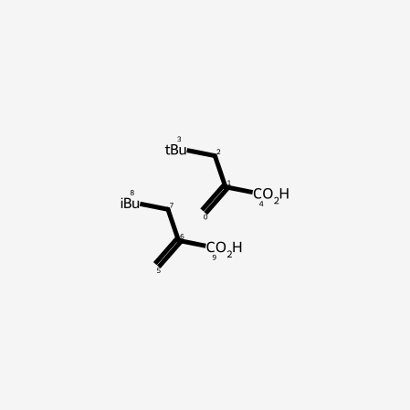 C=C(CC(C)(C)C)C(=O)O.C=C(CC(C)CC)C(=O)O